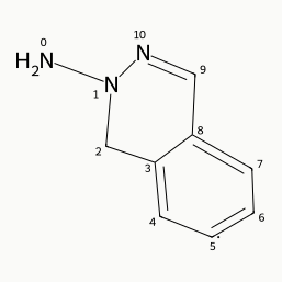 NN1Cc2c[c]ccc2C=N1